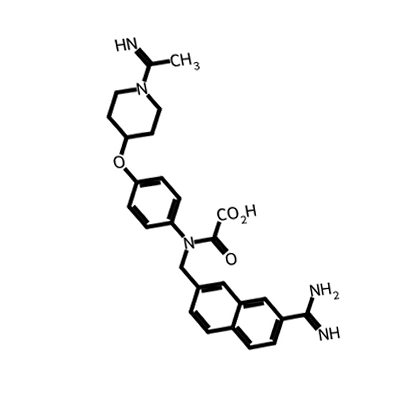 CC(=N)N1CCC(Oc2ccc(N(Cc3ccc4ccc(C(=N)N)cc4c3)C(=O)C(=O)O)cc2)CC1